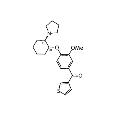 COc1cc(C(=O)c2ccsc2)ccc1O[C@@H]1CCCC[C@H]1N1CCCC1